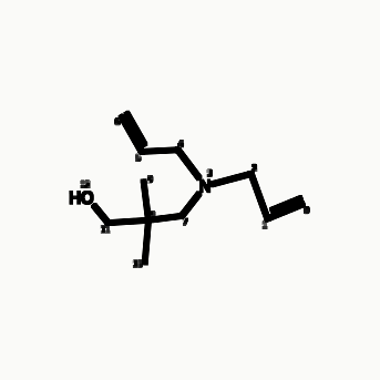 C=CCN(CC=C)CC(C)(C)CO